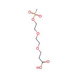 CS(=O)(=O)OCCOCCOCCC(=O)O